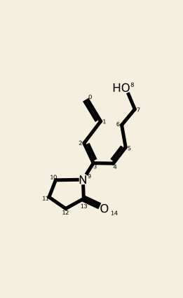 C=C/C=C(\C=C/CCO)N1CCCC1=O